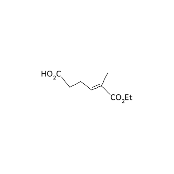 CCOC(=O)C(C)=CCCC(=O)O